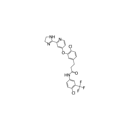 O=C(CCc1ccc(Cl)c(Oc2ccnc(C3=NCCN3)c2)c1)Nc1ccc(Cl)c(C(F)(F)F)c1